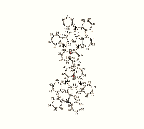 c1ccc(-n2c3ccccc3c3c4c5ccccc5n(-c5ccccc5)c4c4c(c5ccccc5n4-c4ccc(-c5ccc(-n6c7ccccc7c7c8c(c9ccccc9n8-c8ccccc8)c8c9ccccc9n(-c9ccccc9)c8c76)cc5)cc4)c32)cc1